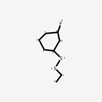 CCSSC1CCCC(F)C1